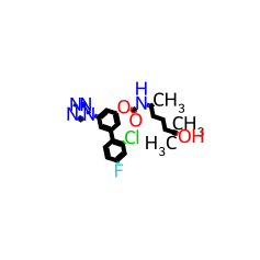 CC(CCCC(C)(C)O)NC(=O)Oc1cc(-c2ccc(F)cc2Cl)cc(-n2cnnn2)c1